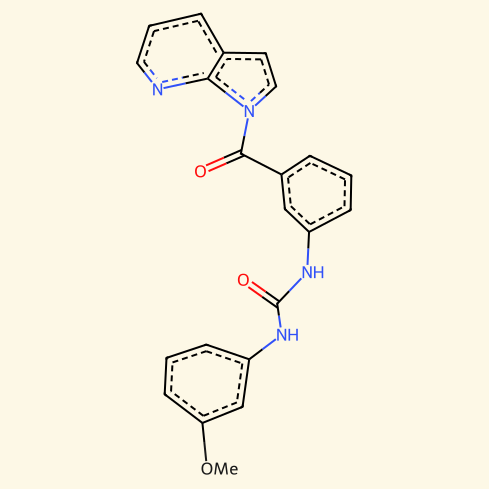 COc1cccc(NC(=O)Nc2cccc(C(=O)n3ccc4cccnc43)c2)c1